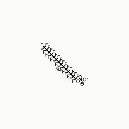 O=S(=O)([O-])OC(F)(F)C(F)(F)C(F)(F)C(F)(F)C(F)(F)C(F)(F)C(F)(F)C(F)(F)C(F)(F)C(F)(F)C(F)(F)C(F)(F)C(F)(F)C(F)(F)F.[Na+]